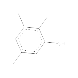 Cc1[c]c(C)c(C)c(S)c1